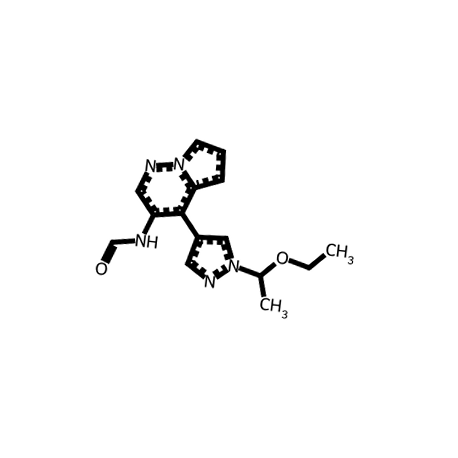 CCOC(C)n1cc(-c2c(NC=O)cnn3cccc23)cn1